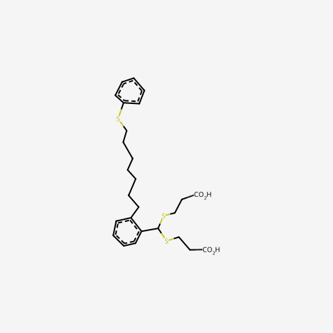 O=C(O)CCSC(SCCC(=O)O)c1ccccc1CCCCCCCSc1ccccc1